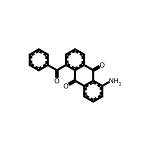 Nc1cccc2c1C(=O)c1cccc(C(=O)c3ccccc3)c1C2=O